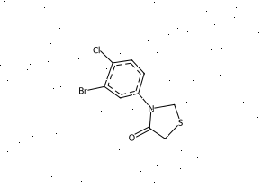 O=C1CSCN1c1ccc(Cl)c(Br)c1